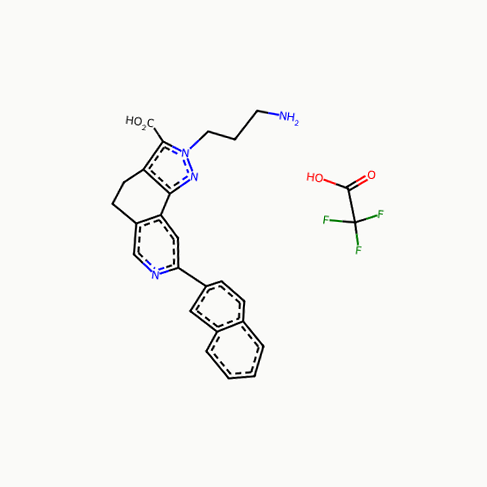 NCCCn1nc2c(c1C(=O)O)CCc1cnc(-c3ccc4ccccc4c3)cc1-2.O=C(O)C(F)(F)F